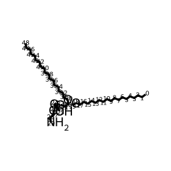 CCCCCCCCCCCCCCCCCCOC[C@H](COP(=O)(O)OCCN)OCCCCCCCCCCCCCCCCCC